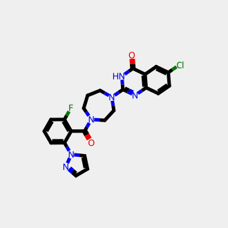 O=C(c1c(F)cccc1-n1cccn1)N1CCCN(c2nc3ccc(Cl)cc3c(=O)[nH]2)CC1